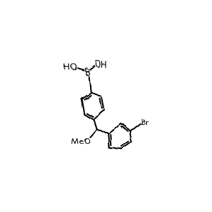 COC(c1ccc(B(O)O)cc1)c1cccc(Br)c1